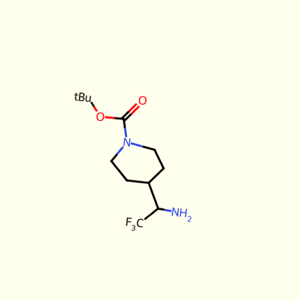 CC(C)(C)OC(=O)N1CCC(C(N)C(F)(F)F)CC1